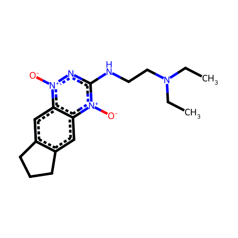 CCN(CC)CCNc1n[n+]([O-])c2cc3c(cc2[n+]1[O-])CCC3